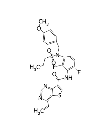 C=Cc1ncnc2c(C(=O)Nc3c(F)ccc(N(Cc4ccc(OC)cc4)S(=O)(=O)CCC)c3F)csc12